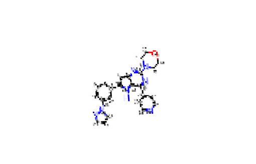 c1cc(-c2cc3nc(N4CCOCC4)nc(-c4ccncc4)c3[nH]2)cc(-n2cccn2)c1